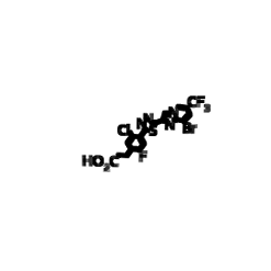 O=C(O)CCc1cc(Cl)c(-c2nnc(-c3cn4cc(C(F)(F)F)cc(Br)c4n3)s2)cc1F